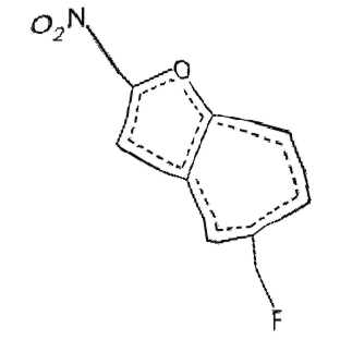 O=[N+]([O-])c1cc2cc(F)ccc2o1